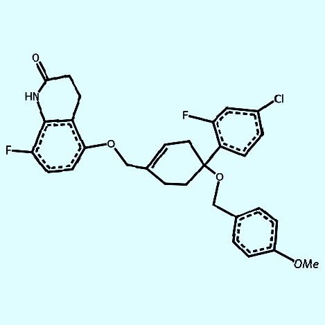 COc1ccc(COC2(c3ccc(Cl)cc3F)CC=C(COc3ccc(F)c4c3CCC(=O)N4)CC2)cc1